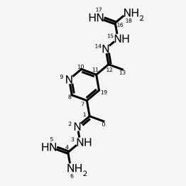 C/C(=N\NC(=N)N)c1cncc(/C(C)=N/NC(=N)N)c1